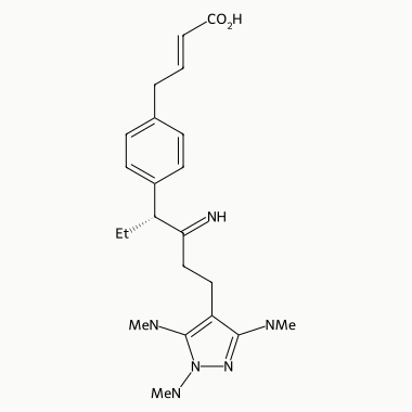 CC[C@@H](C(=N)CCc1c(NC)nn(NC)c1NC)c1ccc(C/C=C/C(=O)O)cc1